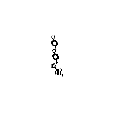 NC(=O)C1CCN1Cc1ccc(OCc2ccc(Cl)cc2)cc1